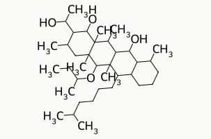 CCC(C)OC1C2(C)C(CCCCC(C)C)C3CCCC(C)C3C(O)C2C(C)C2(C)C(O)C(C(C)O)C(C)CC12C